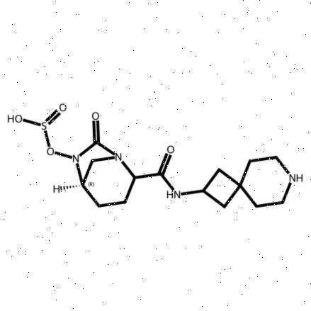 O=C(NC1CC2(CCNCC2)C1)C1CC[C@@H]2CN1C(=O)N2OS(=O)O